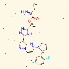 CC(C)C[C@H](N)C(=O)O[C@@H](C)c1nnc(-c2cnn3ccc(N4CCC[C@@H]4c4cc(F)ccc4F)nc23)[nH]1